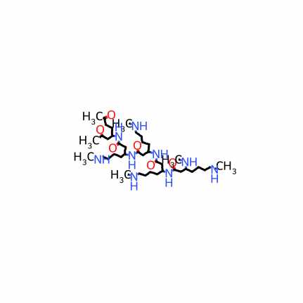 CNCCCCC(CC(=O)NC(CCCCNC)CC(=O)NC(CCCCNC)CC(=O)NC(CCCCNC)CC(=O)NC(CCC(C)=O)CC(C)=O)NC